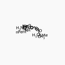 CCCCCNc1nc(N)nc2ccn(Cc3ccc(CN4CCN(C(=O)CCC(C)(C)SC)CC4)cc3OC)c12